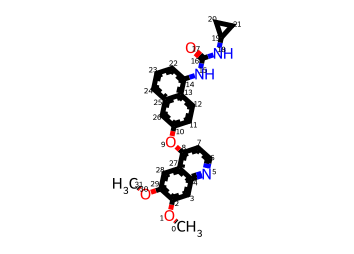 COc1cc2nccc(Oc3ccc4c(NC(=O)NC5CC5)cccc4c3)c2cc1OC